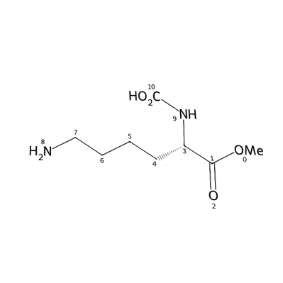 COC(=O)[C@H](CCCCN)NC(=O)O